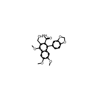 COc1cc2c(OC)c(CO)c(C(N)=O)c(-c3ccc4c(c3)OCO4)c2cc1OC